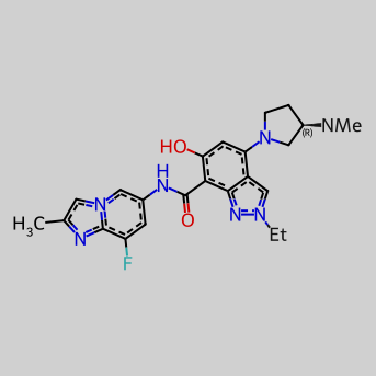 CCn1cc2c(N3CC[C@@H](NC)C3)cc(O)c(C(=O)Nc3cc(F)c4nc(C)cn4c3)c2n1